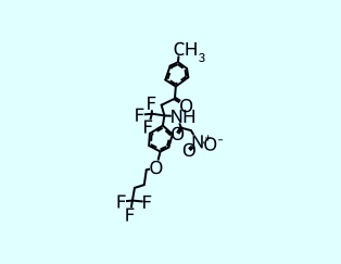 Cc1ccc(C(=O)CC(NC(=O)C[N+](=O)[O-])(c2ccc(OCCCC(F)(F)F)cc2)C(F)(F)F)cc1